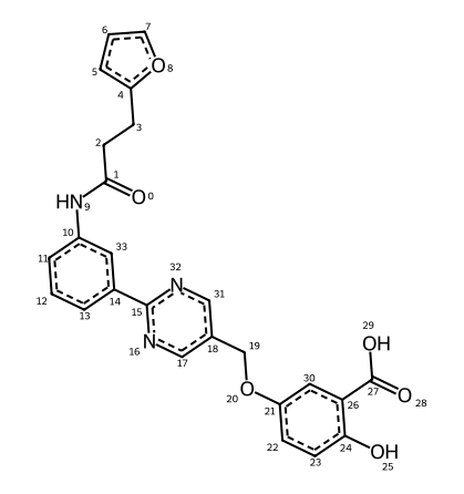 O=C(CCc1ccco1)Nc1cccc(-c2ncc(COc3ccc(O)c(C(=O)O)c3)cn2)c1